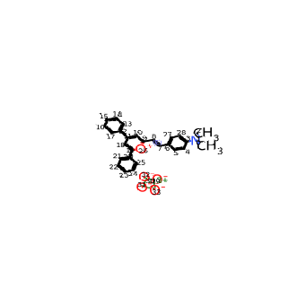 CN(C)c1ccc(/C=C/c2cc(-c3ccccc3)cc(-c3ccccc3)[o+]2)cc1.[O-][Cl+3]([O-])([O-])[O-]